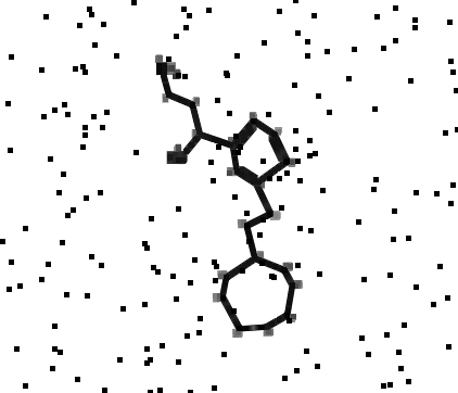 NCCC(O)c1cccc(CCC2CCCCCCC2)c1